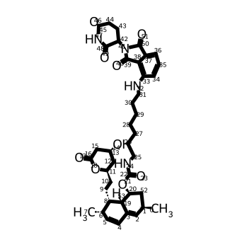 C[C@H]1C=C2C=C[C@H](C)[C@H](CC[C@@H]3C[C@@H](O)CC(=O)O3)[C@H]2[C@@H](OC(=O)NCCCCCCCNc2cccc3c2C(=O)N(C2CCC(=O)NC2=O)C3=O)C1